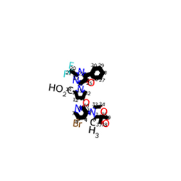 C[C@H]1N(c2cc(Br)cnc2O[C@H]2C[C@@H](C(=O)O)N(c3nc(C(F)F)nc4c3oc3ccccc34)C2)CCOC12COC2